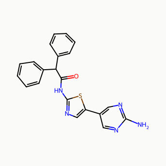 Nc1ncc(-c2cnc(NC(=O)C(c3ccccc3)c3ccccc3)s2)cn1